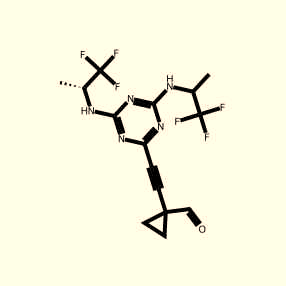 CC(Nc1nc(C#CC2(C=O)CC2)nc(N[C@H](C)C(F)(F)F)n1)C(F)(F)F